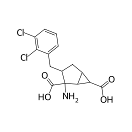 NC1(C(=O)O)C(Cc2cccc(Cl)c2Cl)CC2C(C(=O)O)C21